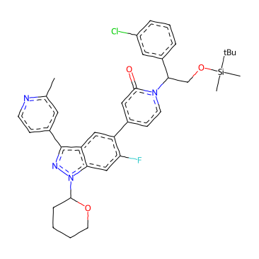 Cc1cc(-c2nn(C3CCCCO3)c3cc(F)c(-c4ccn(C(CO[Si](C)(C)C(C)(C)C)c5cccc(Cl)c5)c(=O)c4)cc23)ccn1